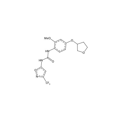 COc1cc(OC2CCOC2)ccc1NC(=O)Nc1cc(C(F)(F)F)no1